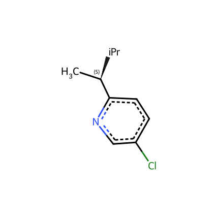 CC(C)[C@H](C)c1ccc(Cl)cn1